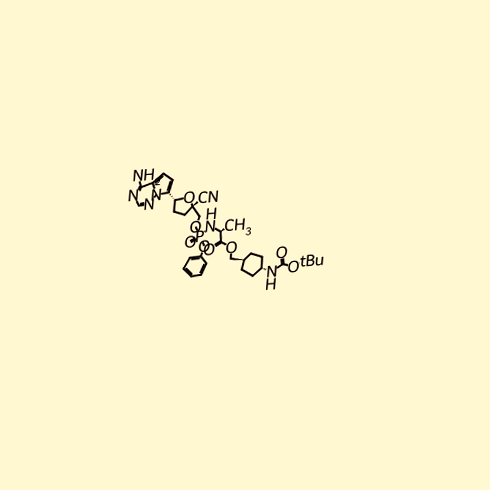 C[C@H](NP(=O)(OC[C@]1(C#N)CC[C@H](c2ccc3c(N)ncnn23)O1)Oc1ccccc1)C(=O)OC[C@H]1CC[C@H](NC(=O)OC(C)(C)C)CC1